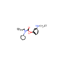 CCOC(=O)Nc1cccc(OC(=O)N(CC(C)C)C2CCCCC2)c1